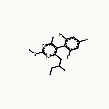 CCC(C)Cc1nc(SC)nc(C)c1-c1c(F)cc(F)cc1F